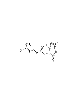 CC(C)=CCCC1=CCC2(C)C(=O)OC(=O)C2C1